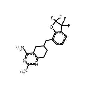 Nc1nc(N)c2c(n1)CCC(Cc1cccc3c1OC(F)(F)C3(F)F)C2